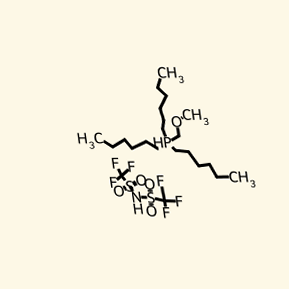 CCCCCC[PH](CCCCCC)(CCCCCC)COC.O=S(=O)(NS(=O)(=O)C(F)(F)F)C(F)(F)F